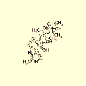 CCC(CC)(CC1O[C@@H](n2c(N=[N+]=[N-])nc3c(N)ncnc32)[C@H](O)C1O)OP(=O)(O)C(O)(CC)CC